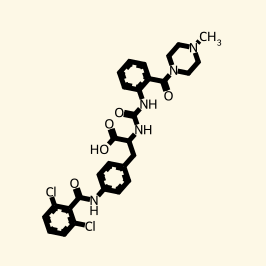 CN1CCN(C(=O)c2ccccc2NC(=O)NC(Cc2ccc(NC(=O)c3c(Cl)cccc3Cl)cc2)C(=O)O)CC1